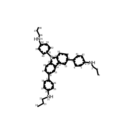 CCCNc1ccc(-c2ccc3c(c2)c2cc(-c4ccc(NCCC)cc4)ccc2n3-c2ccc(NCCC)cc2)cc1